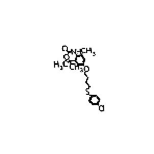 Cc1cc(OCCCCSc2ccc(Cl)cc2)cc2c1NC(=O)OC2(C)C